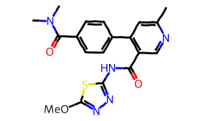 COc1nnc(NC(=O)c2cnc(C)cc2-c2ccc(C(=O)N(C)C)cc2)s1